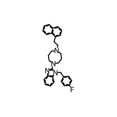 Fc1ccc(Cn2c(N3CCCN(CCc4cccc5ccccc45)CCC3)nc3ccccc32)cc1